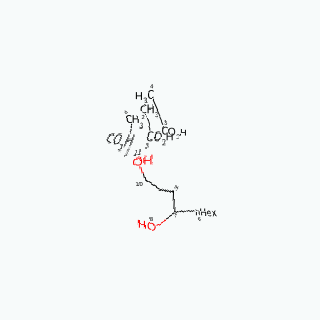 CC(=O)O.CC(=O)O.CC(=O)O.CCCCCCC(O)CCO